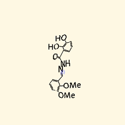 COc1cccc(/C=N/NC(=O)c2cccc(O)c2O)c1OC